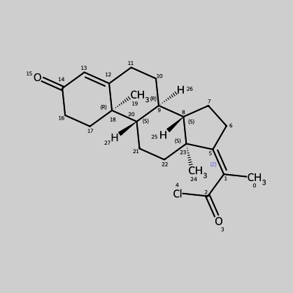 C/C(C(=O)Cl)=C1\CC[C@H]2[C@@H]3CCC4=CC(=O)CC[C@]4(C)[C@H]3CC[C@]12C